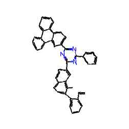 C=Cc1ccccc1-c1ccc2ccc(-c3nc(-c4ccccc4)nc(-c4ccc5c6ccccc6c6ccccc6c5c4)n3)cc2c1C